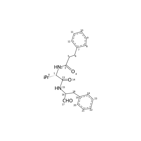 CC(C)[C@H](NC(=O)CCc1ccccc1)C(=O)NC(C=O)Cc1ccccc1